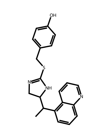 CC(c1cccc2ncccc12)C1CN=C(SCc2ccc(O)cc2)N1